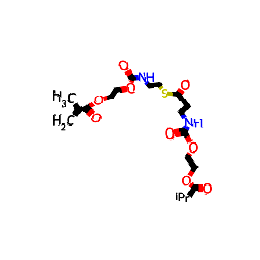 C=C(C)C(=O)OCCOC(=O)NCCSC(=O)CCNC(=O)OCCOC(=O)C(C)C